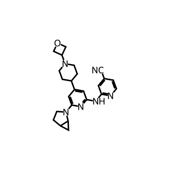 N#Cc1ccnc(Nc2cc(C3CCN(C4COC4)CC3)cc(N3CCC4CC43)n2)c1